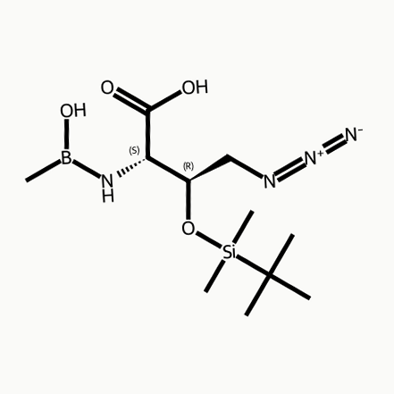 CB(O)N[C@H](C(=O)O)[C@@H](CN=[N+]=[N-])O[Si](C)(C)C(C)(C)C